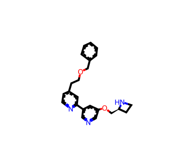 c1ccc(COCCc2ccnc(-c3cncc(OC[C@@H]4CCN4)c3)c2)cc1